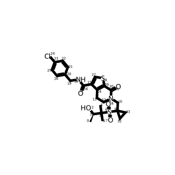 C[C@@H](O)C(C)(C)S(=O)(=O)C1(CN2CCc3c(C(=O)NCc4ccc(Cl)cc4)csc3C2=O)CC1